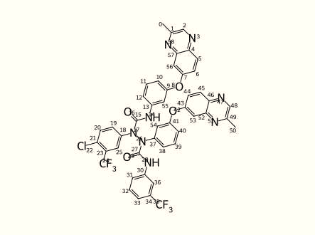 Cc1cnc2ccc(Oc3cccc(NC(=O)N(c4ccc(Cl)c(C(F)(F)F)c4)N(C(=O)Nc4cccc(C(F)(F)F)c4)c4cccc(Oc5ccc6ncc(C)nc6c5)c4)c3)cc2n1